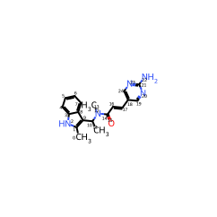 Cc1[nH]c2ccccc2c1C(C)N(C)C(=O)C=Cc1cnc(N)nc1